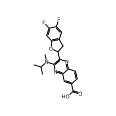 CC(C)N(C)c1nc2cc(C(=O)O)ccc2nc1C1Cc2cc(F)c(F)cc2O1